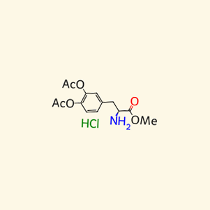 COC(=O)[C@@H](N)Cc1ccc(OC(C)=O)c(OC(C)=O)c1.Cl